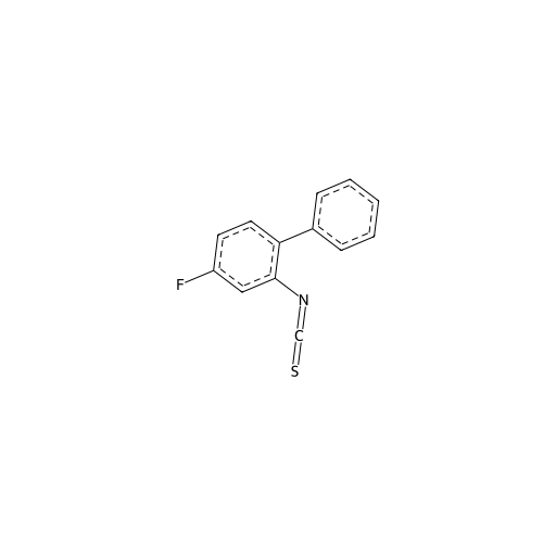 Fc1ccc(-c2ccccc2)c(N=C=S)c1